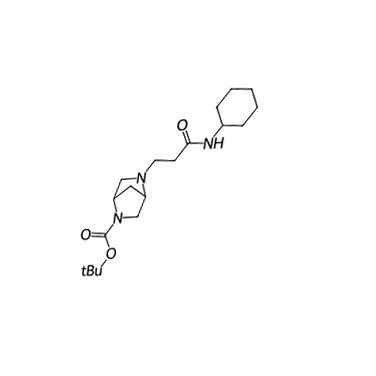 CC(C)(C)OC(=O)N1CC2CC1CN2CCC(=O)NC1CCCCC1